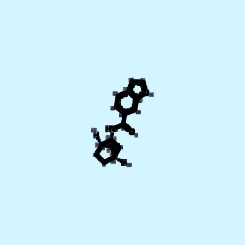 O=C(N[C@@H]1C[C@H]2CC[C@@H]1N2)c1ccc2ccoc2c1